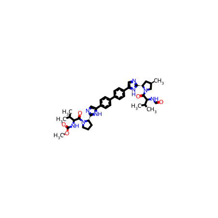 COC(=O)NC(C(=O)N1CCC[C@H]1c1ncc(-c2ccc(-c3ccc(-c4cnc([C@@H]5C[C@@H](C)CN5C(=O)C(NC=O)C(C)C)[nH]4)cc3)cc2)[nH]1)C(C)C